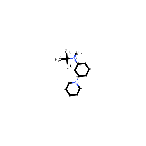 CN([C@H]1CCC[C@H](N2CCCCC2)C1)C(C)(C)C